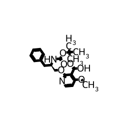 COc1ccnc(OC[C@@H](Cc2ccccc2)NC(=O)OC(C)(C)C)c1C(=O)O